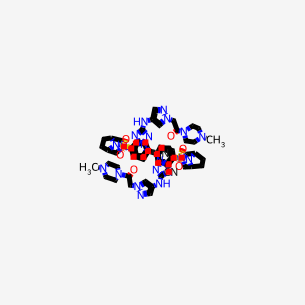 CN1CCN(C(=O)Cn2cc(Nc3nc4c(N5CC6CCC(C5)N6S(=O)(=O)c5ccc(-c6ccc(N7CC8CCC(C7)N8S(=O)(=O)c7ccc(C#N)cc7)c7nc(Nc8cnn(CC(=O)N9CCN(C)CC9)c8)nn67)cc5C#N)cccn4n3)cn2)CC1